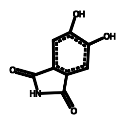 O=C1NC(=O)c2cc(O)c(O)cc21